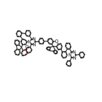 c1ccc(-c2nc(-c3ccc(-c4ccc5c(c4)C4(c6cc(-c7ccccc7-c7ccccc7-c7nc(-c8ccccc8)nc(-c8ccccc8)n7)ccc6O5)c5ccccc5-c5ccccc54)cc3)nc(-c3cccc(-c4ccccc4-c4ccc5c(c4)C4(c6ccccc6O5)c5ccccc5-c5ccccc54)c3)n2)cc1